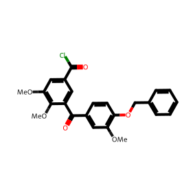 COc1cc(C(=O)c2cc(C(=O)Cl)cc(OC)c2OC)ccc1OCc1ccccc1